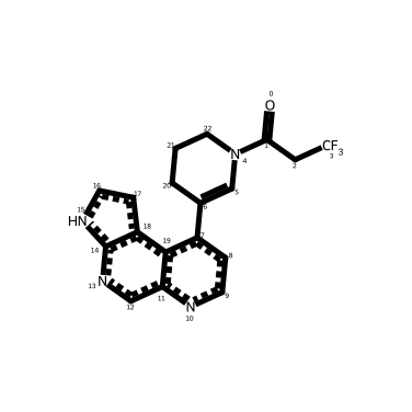 O=C(CC(F)(F)F)N1C=C(c2ccnc3cnc4[nH]ccc4c23)CCC1